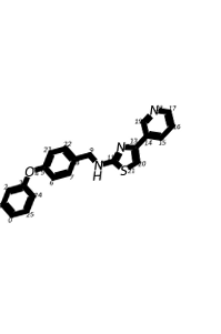 c1ccc(Oc2ccc(CNc3nc(-c4cccnc4)cs3)cc2)cc1